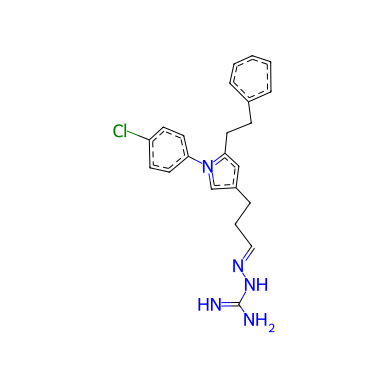 N=C(N)NN=CCCc1cc(CCc2ccccc2)n(-c2ccc(Cl)cc2)c1